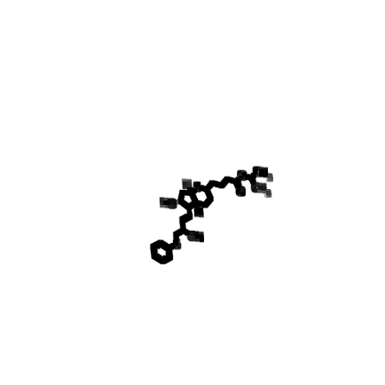 CC(C)OC(=O)CCC[C@H]1CC[C@@H]2[C@@H](/C=C/[C@@H](O)CSc3ccccc3)[C@H](O)C[C@@H]2S1